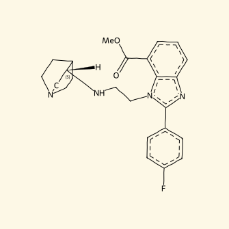 COC(=O)c1cccc2nc(-c3ccc(F)cc3)n(CCN[C@@H]3CN4CCC3CC4)c12